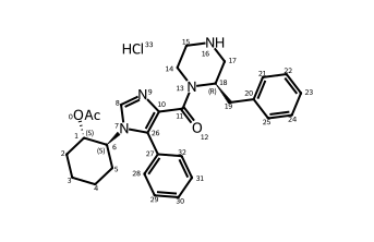 CC(=O)O[C@H]1CCCC[C@@H]1n1cnc(C(=O)N2CCNC[C@H]2Cc2ccccc2)c1-c1ccccc1.Cl